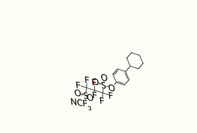 O=S(=O)(NC(F)(F)F)C(F)(F)C(F)(F)C(F)(F)S(=O)(=O)Oc1ccc(C2CCCCC2)cc1